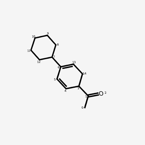 CC(=O)C1C=CC(C2CCCCC2)=CC1